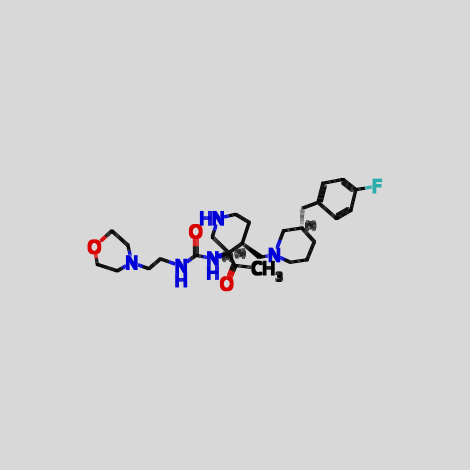 CC(=O)[C@]1(NC(=O)NCCN2CCOCC2)CNCC[C@H]1CN1CCC[C@@H](Cc2ccc(F)cc2)C1